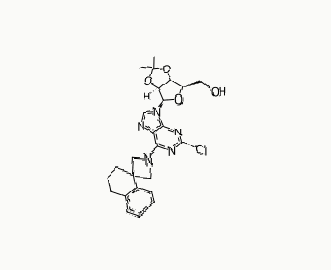 CC1(C)OC2[C@@H](CO)O[C@@H](n3cnc4c(N5CC6(CCCc7ccccc76)C5)nc(Cl)nc43)[C@H]2O1